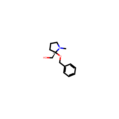 CN1CCC[C@@]1(CO)OCc1ccccc1